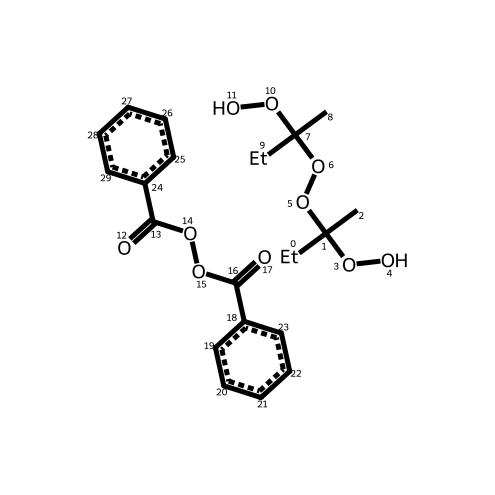 CCC(C)(OO)OOC(C)(CC)OO.O=C(OOC(=O)c1ccccc1)c1ccccc1